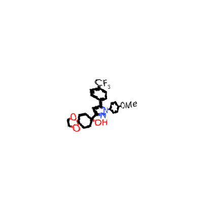 COc1ccc(-n2nc(C3(O)CCC4(CC3)OCCO4)cc2-c2ccc(C(F)(F)F)cc2)cc1